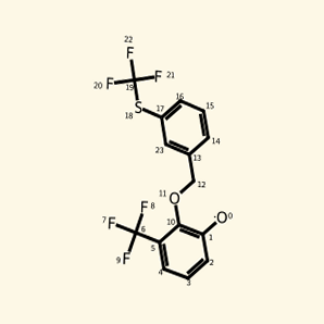 [O]c1cccc(C(F)(F)F)c1OCc1cccc(SC(F)(F)F)c1